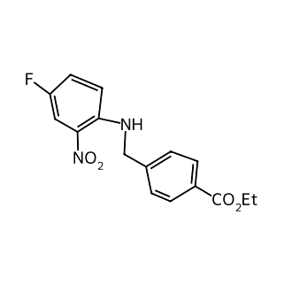 CCOC(=O)c1ccc(CNc2ccc(F)cc2[N+](=O)[O-])cc1